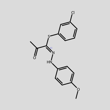 COc1ccc(N/N=C(/Sc2cccc(Cl)c2)C(C)=O)cc1